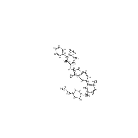 CO[C@H]1CC[C@H](Nc2ncc(Cl)c(-c3ccc4c(c3)C(=O)N(CC(=O)N[C@@H](c3ccccc3)[C@H](C)O)C4)n2)CC1